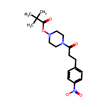 CC(C)(C)C(=O)ON1CCN(C(=O)CCc2ccc([N+](=O)[O-])cc2)CC1